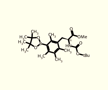 COC(=O)[C@H](Cc1c(C)c(C)c(C)c(B2OC(C)(C)C(C)(C)O2)c1C)NC(=O)OC(C)(C)C